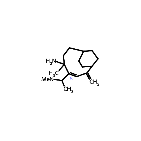 C=C1/C=C(/C(C)NC)C(C)(N)CCC2CCC1CC2